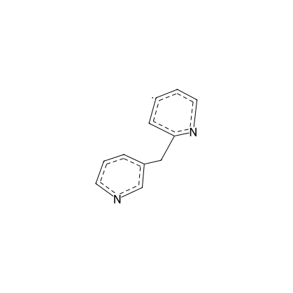 [c]1ccnc(Cc2cccnc2)c1